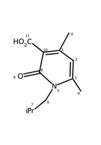 Cc1cc(C)n(CC(C)C)c(=O)c1C(=O)O